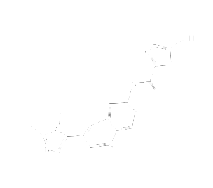 Cc1cnc(C(=O)Nc2cc3cc(-c4cnc(C)n4C)cnc3cn2)s1